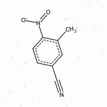 [CH2]c1cc(C#N)ccc1[N+](=O)[O-]